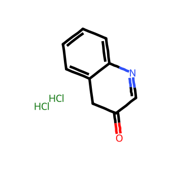 Cl.Cl.O=C1C=Nc2ccccc2C1